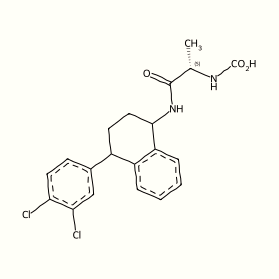 C[C@H](NC(=O)O)C(=O)NC1CCC(c2ccc(Cl)c(Cl)c2)c2ccccc21